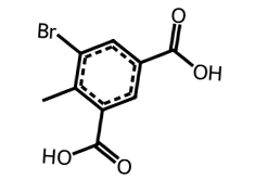 Cc1c(Br)cc(C(=O)O)cc1C(=O)O